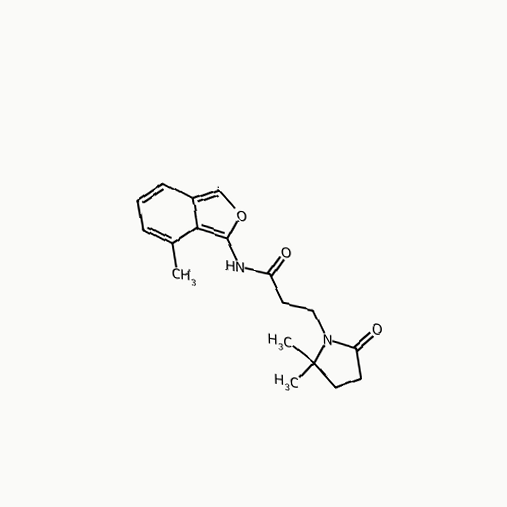 Cc1cccc2[c]oc(NC(=O)CCN3C(=O)CCC3(C)C)c12